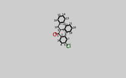 O=C(c1ccc(Cl)cc1)C(Cc1ccccc1)c1ccccc1